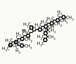 CCC(CC(CC(C)c1ccc(C)c(C(C)c2ccc(C)c(C(C)c3cc(C(C)c4ccc(C)cc4)c(O)c(C(C)c4ccc(C)cc4)c3)c2)c1)c1ccc(C)cc1)c1ccc(C)c(C(C)c2cc(C(C)c3ccc(C)c(C(C)c4ccc(C)cc4)c3)c(O)c(C(C)c3ccc(C)c(C(C)c4ccc(C)c(C(C)c5ccc(C)cc5)c4)c3)c2)c1